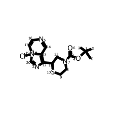 CC(C)(C)OC(=O)N1CCSC(C2=C3C=NC=C[N+]3(Cl)C=N2)C1